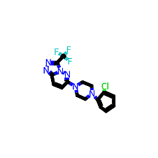 FC(F)(F)c1nnc2ccc(N3CCN(c4ccccc4Cl)CC3)nn12